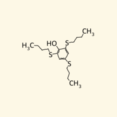 CCCCSc1cc(SCCCC)c(O)c(SCCCC)c1